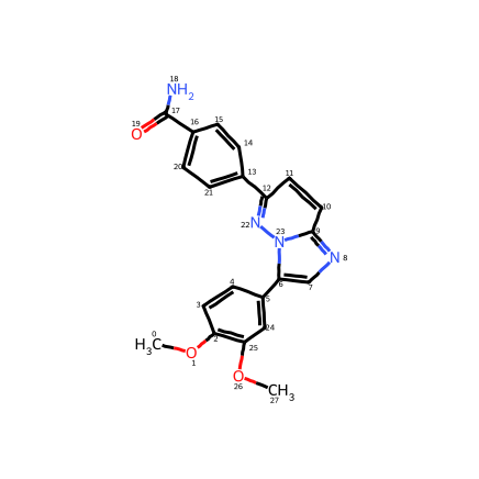 COc1ccc(-c2cnc3ccc(-c4ccc(C(N)=O)cc4)nn23)cc1OC